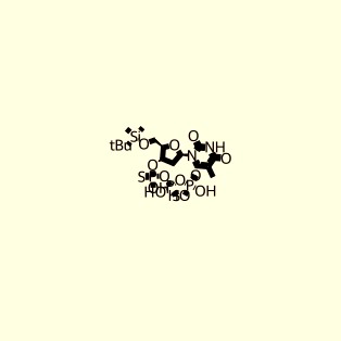 Cc1cn([C@H]2C[C@H](OP(O)(=S)OP(O)(=S)OP(=O)(O)O)[C@@H](CO[Si](C)(C)C(C)(C)C)O2)c(=O)[nH]c1=O